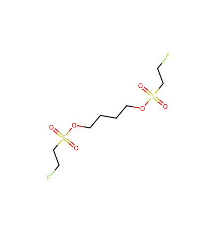 O=S(=O)(CCF)OCCCCOS(=O)(=O)CCF